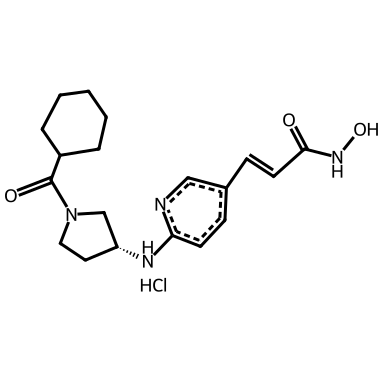 Cl.O=C(/C=C/c1ccc(N[C@@H]2CCN(C(=O)C3CCCCC3)C2)nc1)NO